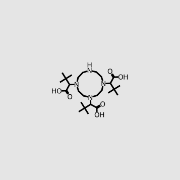 CC(C)(C)C(C(=O)O)N1CCNCCN(C(C(=O)O)C(C)(C)C)CCN(C(C(=O)O)C(C)(C)C)CC1